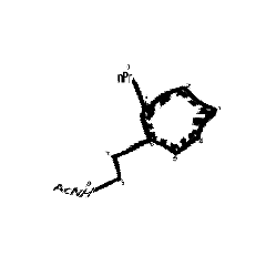 CCCc1ccccc1CCNC(C)=O